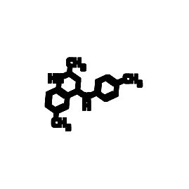 Cc1ccc(NC2CC(C)Nc3ccc(C)cc32)cc1